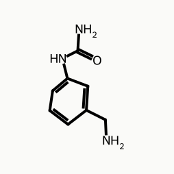 NCc1cccc(NC(N)=O)c1